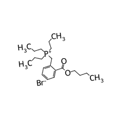 CCCCOC(=O)c1ccccc1C[P+](CCC)(CCC)CCC.[Br-]